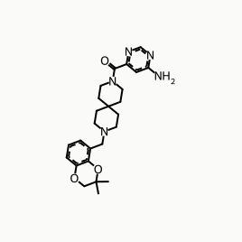 CC1(C)COc2cccc(CN3CCC4(CC3)CCN(C(=O)c3cc(N)ncn3)CC4)c2O1